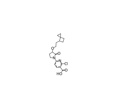 O=C(O)c1ccc(N2CCC(OCCC3CCC34CC4)C2=O)nc1Cl